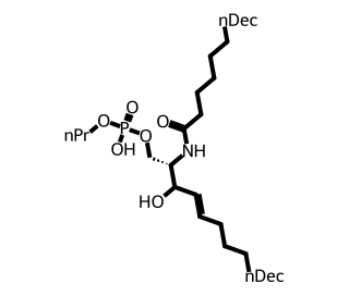 CCCCCCCCCCCCC/C=C/C(O)[C@H](COP(=O)(O)OCCC)NC(=O)CCCCCCCCCCCCCCC